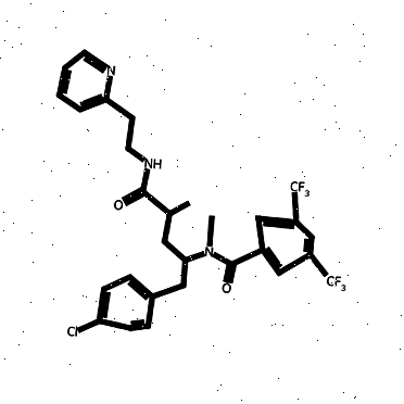 CC(CC(Cc1ccc(Cl)cc1)N(C)C(=O)c1cc(C(F)(F)F)cc(C(F)(F)F)c1)C(=O)NCCc1ccccn1